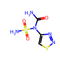 NC(=O)N(c1csnn1)S(N)(=O)=O